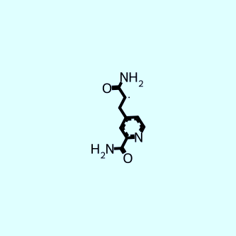 NC(=O)[CH]Cc1ccnc(C(N)=O)c1